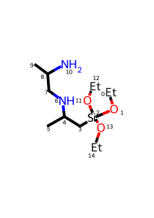 CCO[Si](CC(C)NCC(C)N)(OCC)OCC